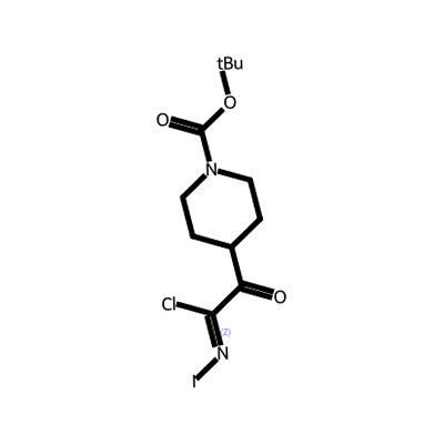 CC(C)(C)OC(=O)N1CCC(C(=O)/C(Cl)=N/I)CC1